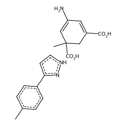 CC1(C(=O)O)C=C(N)C=C(C(=O)O)C1.Cc1ccc(-c2cc[nH]n2)cc1